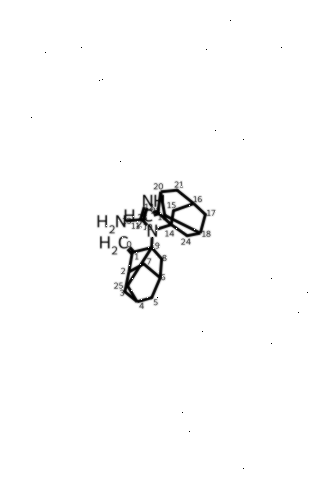 C=C1C2CC3CC(C2)CC1(N(C(=N)N)C12CC4CC(CC(C4)C1=C)C2)C3